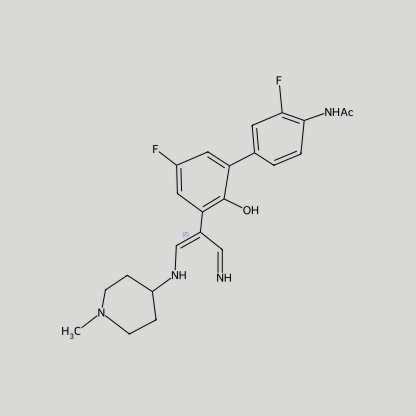 CC(=O)Nc1ccc(-c2cc(F)cc(/C(C=N)=C/NC3CCN(C)CC3)c2O)cc1F